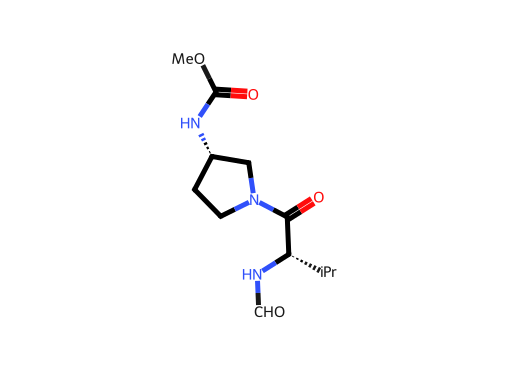 COC(=O)N[C@H]1CCN(C(=O)[C@@H](NC=O)C(C)C)C1